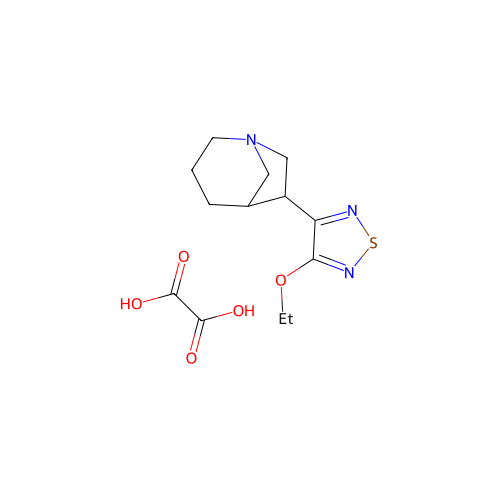 CCOc1nsnc1C1CN2CCCC1C2.O=C(O)C(=O)O